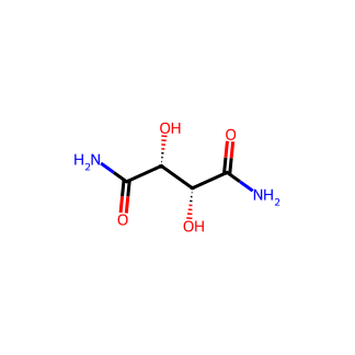 NC(=O)[C@H](O)[C@@H](O)C(N)=O